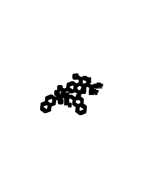 CCCN(CCC)c1ncc(Cl)c(-c2ccc(C(=O)NS(=O)(=O)c3ccc4ccccc4c3)cc2C(=O)N2Cc3ccccc3CC2CN)n1